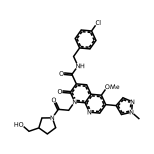 COc1c(-c2cnn(C)c2)cnc2c1cc(C(=O)NCc1ccc(Cl)cc1)c(=O)n2CC(=O)N1CCC(CO)C1